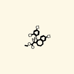 CCOC(=O)c1nn(-c2ccc(Cl)cc2Cl)c2c1CCCc1cc(Cl)ccc1-2